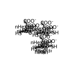 CCCCCCC(C(=O)OCCS)C(CS)(C(CCCC(=O)[O-])C(=O)[O-])C(CCCCCC)C(=O)OCCS.CCCCCCC(C(=O)OCCS)C(CS)(C(CCCC(=O)[O-])C(=O)[O-])C(CCCCCC)C(=O)OCCS.CCCCCCC(C(=O)OCCS)C(CS)(C(CCCC(=O)[O-])C(=O)[O-])C(CCCCCC)C(=O)OCCS.CCC[CH2][Sn+3].CCC[CH2][Sn+3]